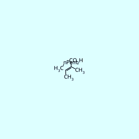 C/C=C(\C)C(=O)O.CCCCCC